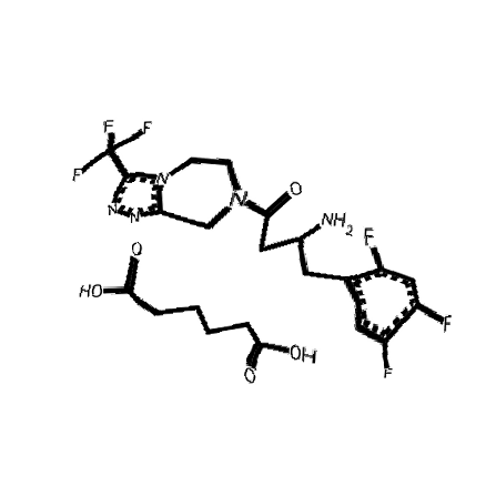 NC(CC(=O)N1CCn2c(nnc2C(F)(F)F)C1)Cc1cc(F)c(F)cc1F.O=C(O)CCCCC(=O)O